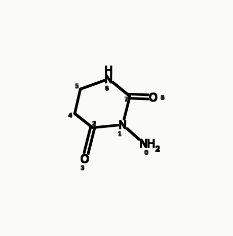 NN1C(=O)CCNC1=O